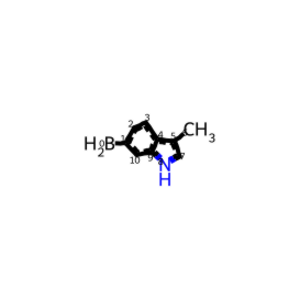 Bc1ccc2c(C)c[nH]c2c1